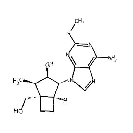 CSc1nc(N)c2ncn([C@H]3[C@H](O)[C@H](C)[C@]4(CO)CC[C@H]34)c2n1